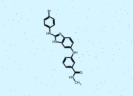 CNC(=O)c1cccc(Nc2ccc3nc(Nc4ccc(Br)cc4)[nH]c3c2)c1